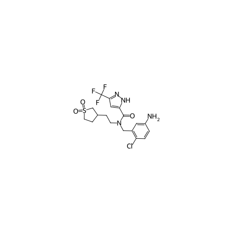 Nc1ccc(Cl)c(CN(CCC2CCS(=O)(=O)C2)C(=O)c2cc(C(F)(F)F)n[nH]2)c1